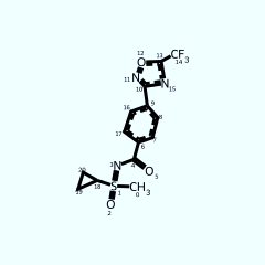 CS(=O)(=NC(=O)c1ccc(-c2noc(C(F)(F)F)n2)cc1)C1CC1